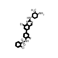 CCc1cc(-c2ccc(NS(=O)(=O)c3ccccc3Cl)c(F)c2)cc2cnc(N[C@H]3CC[C@H](N)[C@H](C)C3)nc12